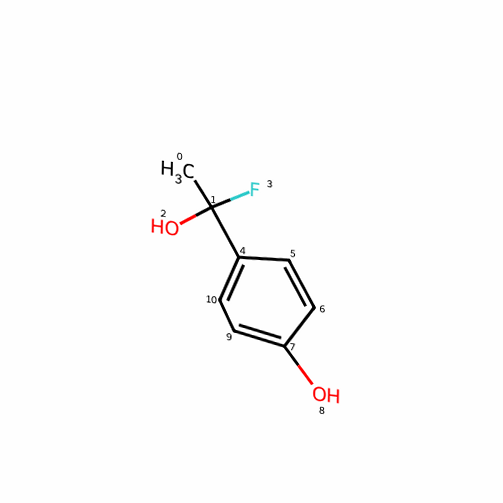 CC(O)(F)c1ccc(O)cc1